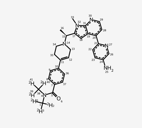 [2H]C([2H])([2H])N(C(=O)c1ccc(C2=CCN([C@@H](C)c3cc4c(-c5ccc(N)cn5)ccnc4n3C)CC2)cc1)C([2H])([2H])[2H]